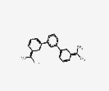 CC(C)=C1[C]=CC=C(c2cccc(C3=CC=[C]C(=C(C)C)C3)c2)C1